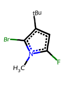 Cn1c(F)cc(C(C)(C)C)c1Br